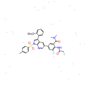 COc1ccccc1-c1cn(S(=O)(=O)c2ccc(C)cc2)c2ncc(-c3cc(F)c(NC(=O)CF)c(C(=O)N(C)C)c3)cc12